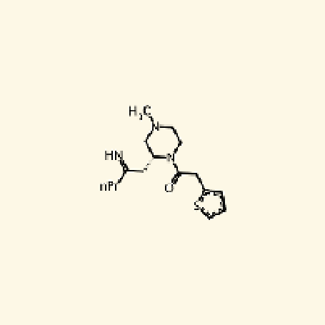 CCCC(=N)C[C@@H]1CN(C)CCN1C(=O)Cc1cccs1